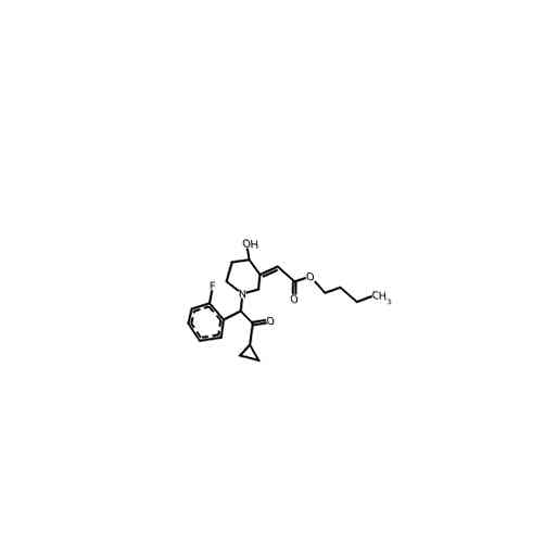 CCCCOC(=O)/C=C1\CN(C(C(=O)C2CC2)c2ccccc2F)CCC1O